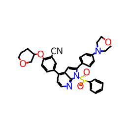 N#Cc1cc(-c2ccnc3c2cc(-c2ccc(N4CCOCC4)cc2)n3S(=O)(=O)c2ccccc2)ccc1OC1CCCOC1